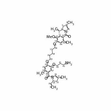 C=CC1CC(C)=CN1C(=O)c1cc(OC)c(OCCCCCOc2cc(C)c(C(=O)N3C=C(C)CC3C=C)cc2OCCCN)cc1C